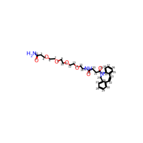 NC(=O)CCOCCOCCOCCOCCNC(=O)CCC(=O)N1Cc2ccccc2C#Cc2ccccc21